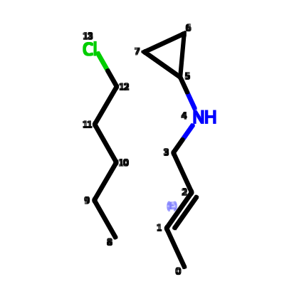 C/C=C/CNC1CC1.CCCCCCl